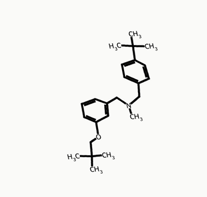 CN(Cc1ccc(C(C)(C)C)cc1)Cc1cccc(OCC(C)(C)C)c1